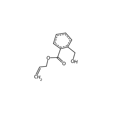 C=CCOC(=O)c1ccccc1CO